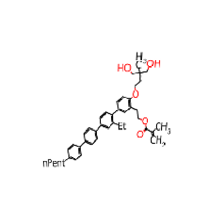 C=C(C)C(=O)OCCc1cc(-c2ccc(-c3ccc(-c4ccc(CCCCC)cc4)cc3)cc2CC)ccc1OCCC(C)(CO)CO